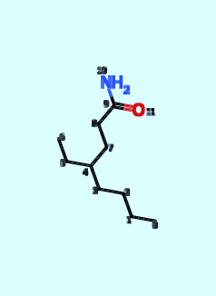 CCCCC(CC)CCC(N)=O